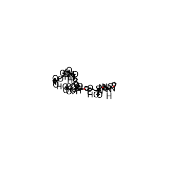 Cc1cc(N(C)c2nc(C(=O)O)c(CCCOc3ccc(C#CCN(C)C(=O)OCc4ccc(NC(=O)[C@H](C)NC(=O)[C@@H](NC(=O)CCOCCN5C(=O)C=CC5=O)C(C)C)cc4CC[C@@H]4O[C@H](C(=O)O)[C@@H](O)[C@H](O)[C@H]4O)cc3F)s2)nnc1Nc1nc2ccccc2s1